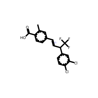 Cc1cc(/C=C/C(c2ccc(Cl)c(Cl)c2)C(F)(F)F)ccc1C(=O)O